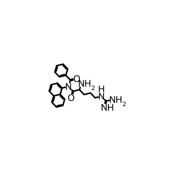 N=C(N)NCCCC(N)C(=O)N(C(=O)c1ccccc1)c1cccc2ccccc12